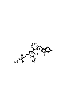 CC(C)(C)OC(=O)NCCCC[C@H](NC(=O)OC(C)(C)C)C(=O)N[C@H]([C]=O)Cc1c[nH]c2cc(F)ccc12